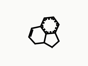 [CH]1Cc2cccc3c2C1CC=C3